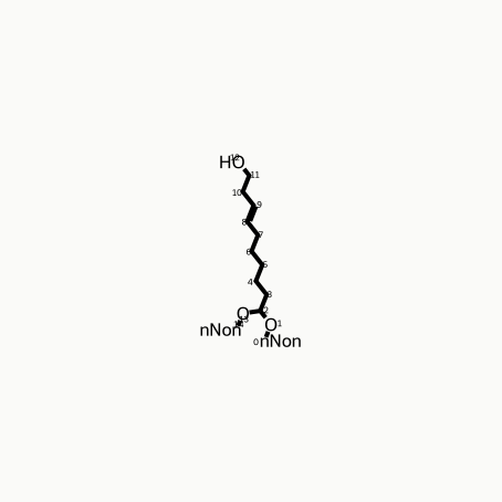 CCCCCCCCCOC(CCCCC/C=C/CCO)OCCCCCCCCC